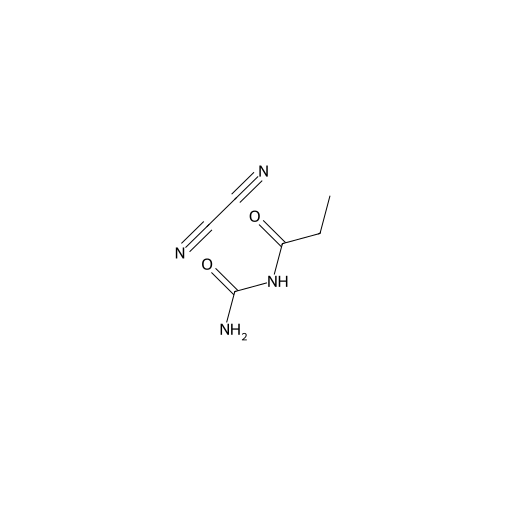 CCC(=O)NC(N)=O.N#CC#N